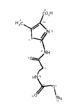 Cc1sc(NC(=O)CNC(=O)OC(C)(C)C)nc1C(=O)O